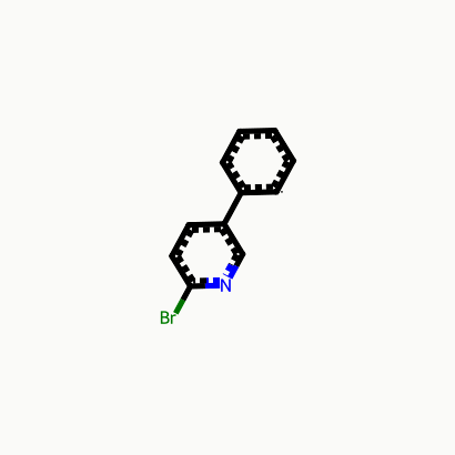 Brc1ccc(-c2[c]cccc2)cn1